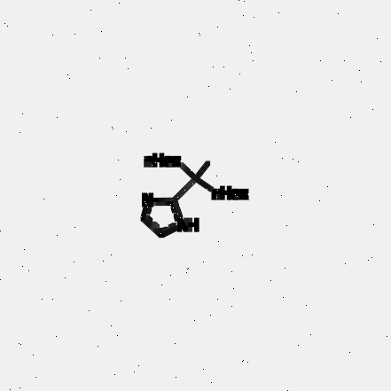 CCCCCCC(C)(CCCCCC)c1ncc[nH]1